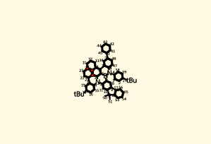 CC(C)(C)c1ccc(N2B3c4cc5c(cc4N(c4ccc(C(C)(C)C)cc4-c4ccccc4)c4cc6ccccc6c(c43)-c3cc(-c4ccccc4)ccc32)C(C)(C)c2ccccc2-5)cc1